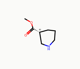 COC(=O)[C@@H]1CCCNC1